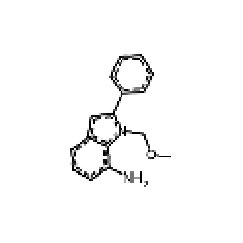 COCn1c(-c2ccccc2)cc2cccc(N)c21